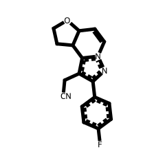 N#CCc1c(-c2ccc(F)cc2)nn2c1C1CCOC1C=C2